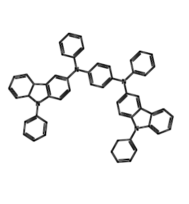 C1=CCCC(n2c3ccccc3c3cc(N(c4ccccc4)c4ccc(N(c5ccccc5)c5ccc6c(c5)C5C=CC=CC5N6c5ccccc5)cc4)ccc32)=C1